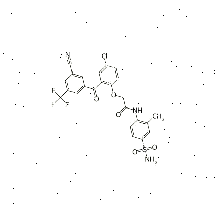 Cc1cc(S(N)(=O)=O)ccc1NC(=O)COc1ccc(Cl)cc1C(=O)c1cc(C#N)cc(C(F)(F)F)c1